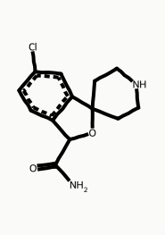 NC(=O)C1OC2(CCNCC2)c2cc(Cl)ccc21